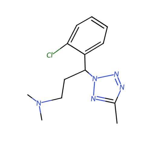 Cc1nnn(C(CCN(C)C)c2ccccc2Cl)n1